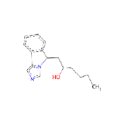 CCCCC(O)CC1c2ccccc2-c2cncn21